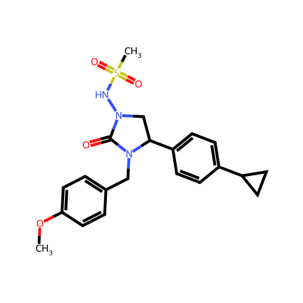 COc1ccc(CN2C(=O)N(NS(C)(=O)=O)CC2c2ccc(C3CC3)cc2)cc1